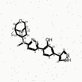 CN(c1ccc(-c2ccc(-c3cn[nH]c3)cc2O)nn1)[C@@H]1C[C@]2(C)COC[C@](C)(C1)N2